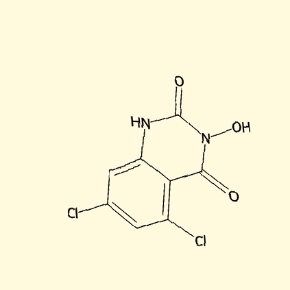 O=c1[nH]c2cc(Cl)cc(Cl)c2c(=O)n1O